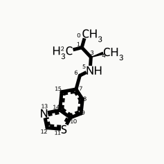 CC(C)[C@@H](C)NCc1ccc2scnc2c1